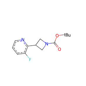 CC(C)(C)OC(=O)N1CC(c2ncccc2F)C1